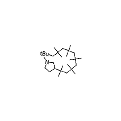 CN1CCC(C(C)(C)CC(C)(C)CC(C)(C)CC(C)(C)CC(C)(C)CC(C)(C)C)C1